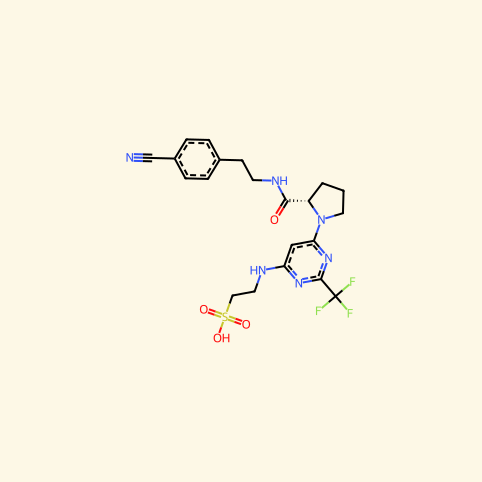 N#Cc1ccc(CCNC(=O)[C@@H]2CCCN2c2cc(NCCS(=O)(=O)O)nc(C(F)(F)F)n2)cc1